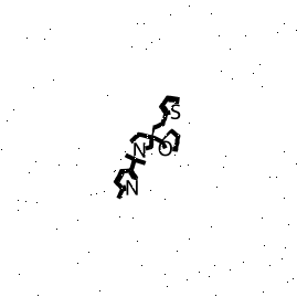 Cc1ccc(C(C)(C)N2CC[C@](CCc3cccs3)([C@H]3CCCO3)C2)cn1